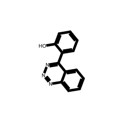 Oc1ccccc1-c1nnnc2ccccc12